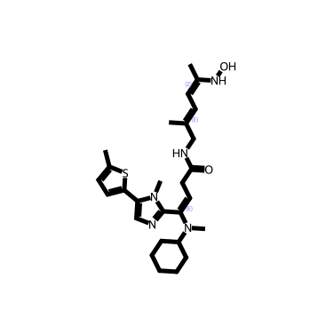 C/C(=C/C=C(\C)CNC(=O)C/C=C(\c1ncc(-c2ccc(C)s2)n1C)N(C)C1CCCCC1)NO